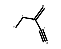 [CH]=C(C#C)CC